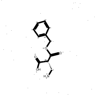 NC[C@H](C(=O)O)C(=O)OCc1ccccc1